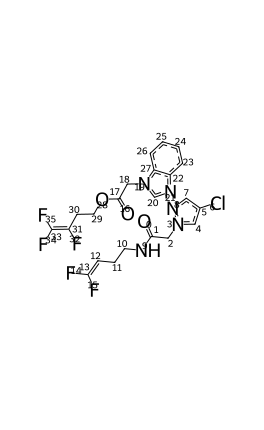 O=C(Cn1cc(Cl)cn1)NCCC=C(F)F.O=C(Cn1cnc2ccccc21)OCCC(F)=C(F)F